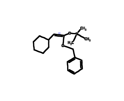 C[Si](C)(C)O/C(=C/C1CCCCC1)OCc1ccccc1